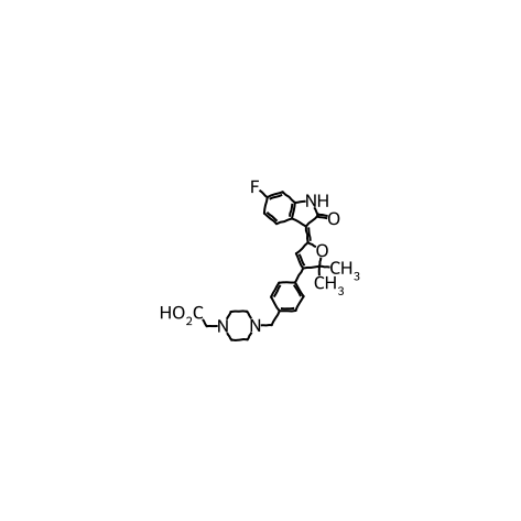 CC1(C)OC(=C2C(=O)Nc3cc(F)ccc32)C=C1c1ccc(CN2CCN(CC(=O)O)CC2)cc1